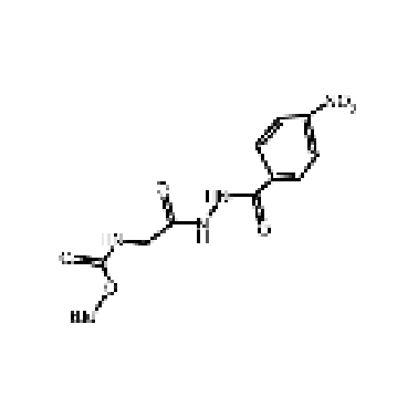 CC(C)(C)OC(=O)NCC(=O)NNC(=O)c1ccc([N+](=O)[O-])cc1